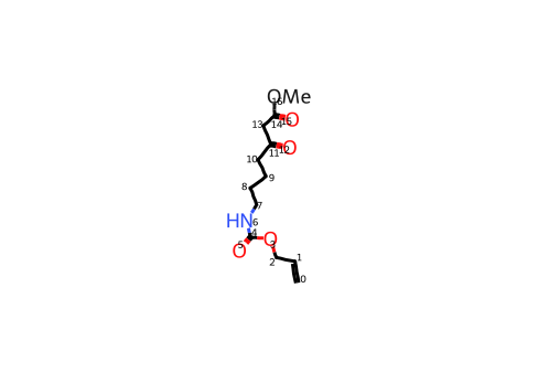 C=CCOC(=O)NCCCCC(=O)CC(=O)OC